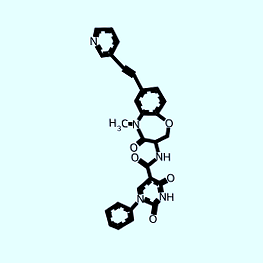 CN1C(=O)C(NC(=O)c2cn(-c3ccccc3)c(=O)[nH]c2=O)COc2ccc(C#Cc3cccnc3)cc21